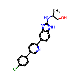 CC(CO)Nc1nc2cc(-c3ccc(-c4ccc(Cl)cc4)cn3)ccc2[nH]1